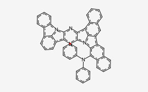 c1ccc(N(c2ccccc2)c2c3ccccc3cc3c4cc5ccccc5c5c6nc7c(nc6n(c23)c45)c2cccc3c4ccccc4n7c32)cc1